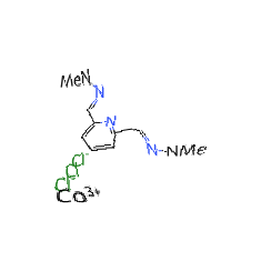 CNN=Cc1cccc(C=NNC)n1.[Cl-].[Cl-].[Cl-].[Co+3]